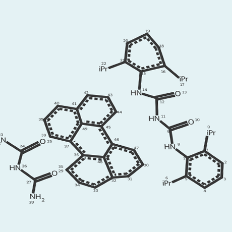 CC(C)c1cccc(C(C)C)c1NC(=O)NC(=O)Nc1c(C(C)C)cccc1C(C)C.NC(=O)NC(N)=O.c1cc2cccc3c4cccc5cccc(c(c1)c23)c54